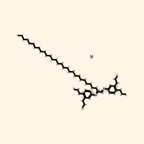 CCCCCCCCCCCCCCCCCCCCCCCCCCCCC(/C=N/c1ccc(CCC)c(CCC)c1)=N\c1ccc(CCC)c(CCC)c1.[Ni]